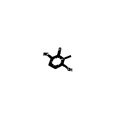 Cn1c(O)ccc(C#N)c1=O